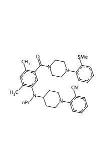 CCCN(c1cc(C(=O)N2CCN(c3ccccc3SC)CC2)c(C)cc1C)C1CCN(c2ccccc2C#N)CC1